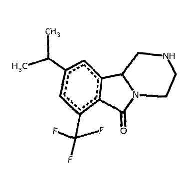 CC(C)c1cc2c(c(C(F)(F)F)c1)C(=O)N1CCNCC21